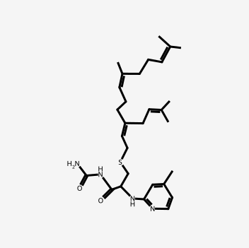 CC(C)=CCCC(C)=CCCC(=CCSCC(Nc1cc(C)ccn1)C(=O)NC(N)=O)CC=C(C)C